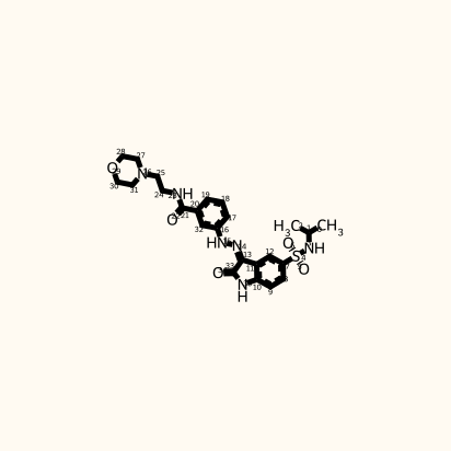 CC(C)NS(=O)(=O)c1ccc2c(c1)/C(=N/Nc1cccc(C(=O)NCCN3CCOCC3)c1)C(=O)N2